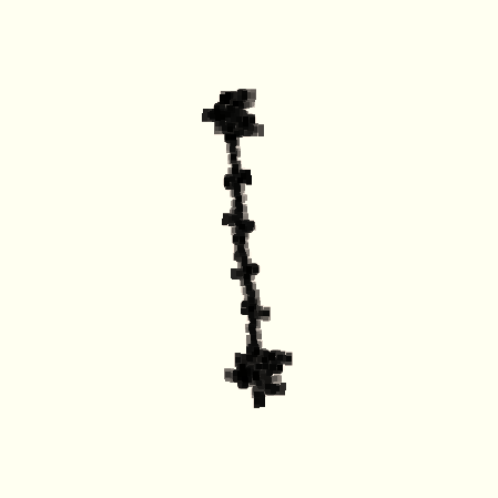 CC1C(OC2C(C(=O)O)OC(OCCCCCCNC(=O)CCCCCCCNC(=O)CCOCCCOCCC(=O)NCCCCCCCC(=O)NCCCCCCOC3OC(C(=O)O)C(OC4OC(COS(=O)(=O)O)C(O)C(O)C4C)C(O)C3O)C(O)C2O)OC(COS(=O)(=O)O)C(O)C1O